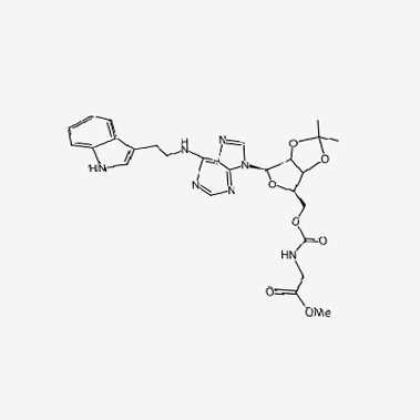 COC(=O)CNC(=O)OC[C@H]1O[C@@H](n2cnc3c(NCCc4c[nH]c5ccccc45)ncnc32)C2OC(C)(C)OC21